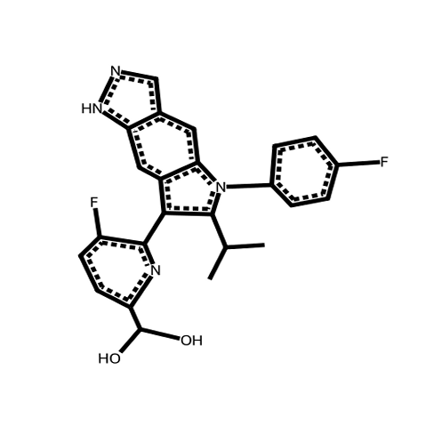 CC(C)c1c(-c2nc(C(O)O)ccc2F)c2cc3[nH]ncc3cc2n1-c1ccc(F)cc1